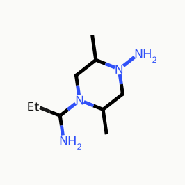 CCC(N)N1CC(C)N(N)CC1C